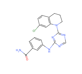 NC(=O)c1cccc(Nc2ncnc(N3CCCc4ccc(Cl)cc43)n2)c1